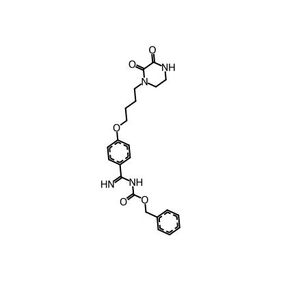 N=C(NC(=O)OCc1ccccc1)c1ccc(OCCCCN2CCNC(=O)C2=O)cc1